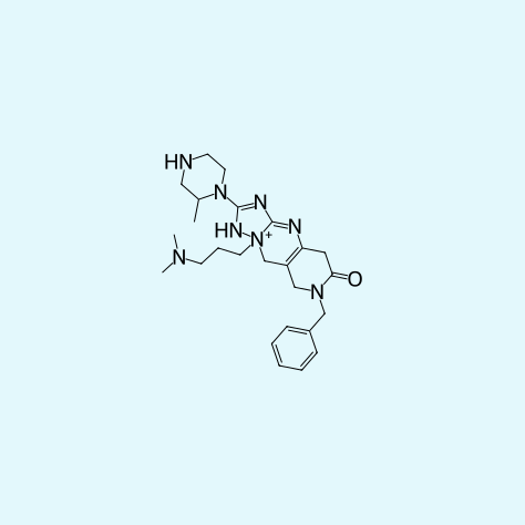 CC1CNCCN1C1=NC2=NC3=C(CN(Cc4ccccc4)C(=O)C3)C[N+]2(CCCN(C)C)N1